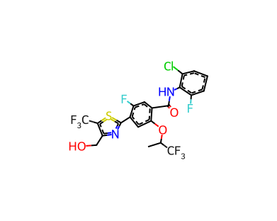 CC(Oc1cc(-c2nc(CO)c(C(F)(F)F)s2)c(F)cc1C(=O)Nc1c(F)cccc1Cl)C(F)(F)F